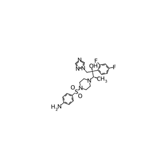 C[C@@H](N1CCN(S(=O)(=O)c2ccc(N)cc2)CC1)[C@](O)(Cn1cncn1)c1ccc(F)cc1F